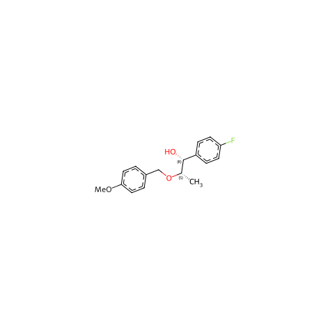 COc1ccc(CO[C@@H](C)[C@H](O)c2ccc(F)cc2)cc1